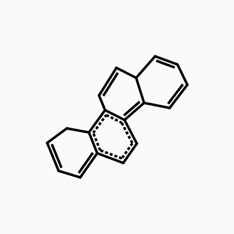 C1=CCc2c3c(ccc2=C1)=C1C=CC=CC1C=C3